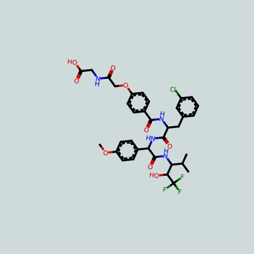 COc1ccc(C(NC(=O)C(Cc2cccc(Cl)c2)NC(=O)c2ccc(OCC(=O)NCC(=O)O)cc2)C(=O)NC(C(C)C)C(O)C(F)(F)F)cc1